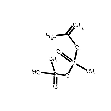 C=C(C)OP(=O)(O)OP(=O)(O)O